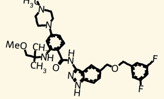 COCC(C)(C)Nc1cc(N2CCN(C)CC2)ccc1C(=O)Nc1n[nH]c2ccc(COCc3cc(F)cc(F)c3)cc12